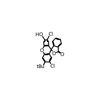 CC(C)(C)c1cc2c(cc1Cl)C1(OC(=O)c3ccccc31)c1cc(Cl)c(O)cc1O2